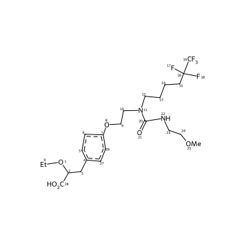 CCOC(Cc1ccc(OCCN(CCCCC(F)(F)C(F)(F)F)C(=O)NCCOC)cc1)C(=O)O